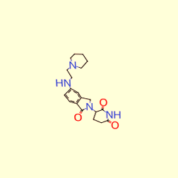 O=C1CCC(N2Cc3cc(NCCN4CCCCC4)ccc3C2=O)C(=O)N1